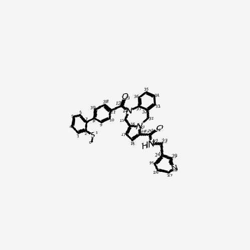 CSc1ccccc1-c1ccc(C(=O)N2Cc3ccc(C(=O)NCc4cccnc4)n3Cc3ccccc32)cc1